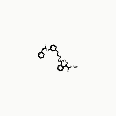 CNC(=O)/C(=N/OC)c1ccccc1CO/N=C/Cc1cccc(O/C(F)=C\c2ccccc2)c1